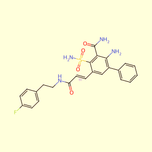 NC(=O)c1c(N)c(-c2ccccc2)cc(/C=C/C(=O)NCCc2ccc(F)cc2)c1S(N)(=O)=O